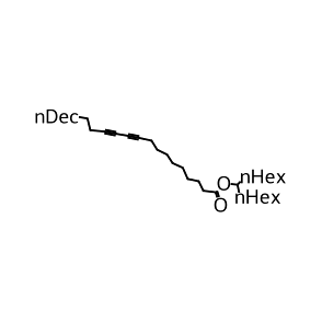 CCCCCCCCCCCCC#CC#CCCCCCCCCC(=O)OC(CCCCCC)CCCCCC